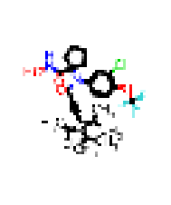 CC(C)[Si](C#CC(=O)N(c1ccc(OC(F)(F)F)c(Cl)c1)C1(C(=O)NO)CCCC1)(C(C)C)C(C)C